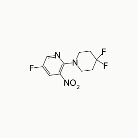 O=[N+]([O-])c1cc(F)cnc1N1CCC(F)(F)CC1